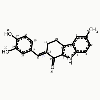 Cc1ccc2[nH]c3c(c2c1)CC/C(=C\c1ccc(O)c(O)c1)C3=O